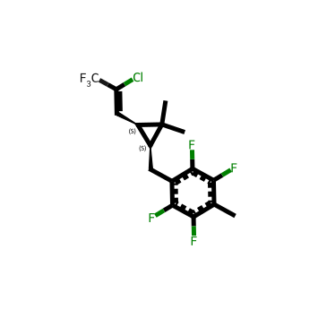 Cc1c(F)c(F)c(C[C@H]2[C@@H](C=C(Cl)C(F)(F)F)C2(C)C)c(F)c1F